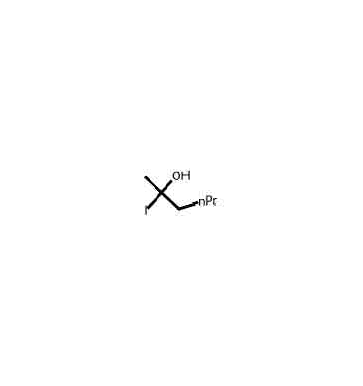 CCCCC(C)(O)I